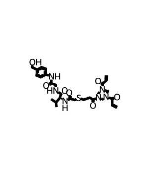 C=CC(=O)N1CN(C(=O)C=C)CN(C(=O)CCSCC(=O)N[C@H](C(=O)NCC(=O)Nc2ccc(CO)cc2)C(C)C)C1